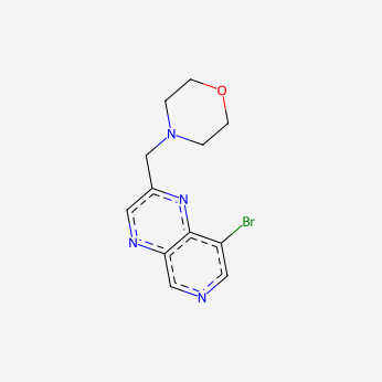 Brc1cncc2ncc(CN3CCOCC3)nc12